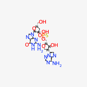 Nc1nc2c(ncn2[C@@H]2O[C@H](CO)C[C@H]2OP(O)(=S)OC[C@H]2OC[C@@H](c3cnc4c(N)ncnn34)[C@@H]2O)c(=O)[nH]1